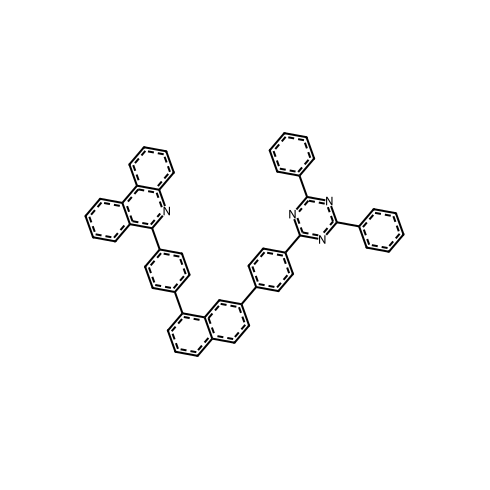 c1ccc(-c2nc(-c3ccccc3)nc(-c3ccc(-c4ccc5cccc(-c6ccc(-c7nc8ccccc8c8ccccc78)cc6)c5c4)cc3)n2)cc1